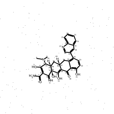 CN(C)[C@@H]1C(O)=C(C(N)=O)C(=N)[C@@]2(O)C(O)=C3C(=O)c4c(O)ccc(-c5cnc6ccccc6c5)c4C[C@H]3C[C@@H]12